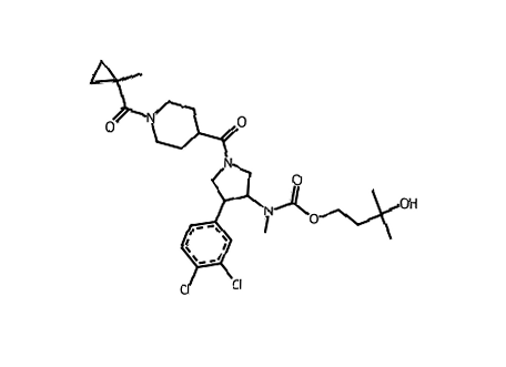 CN(C(=O)OCCC(C)(C)O)C1CN(C(=O)C2CCN(C(=O)C3(C)CC3)CC2)CC1c1ccc(Cl)c(Cl)c1